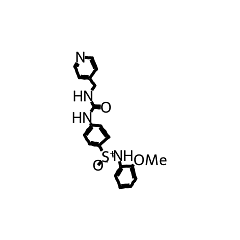 COc1ccccc1N[S+]([O-])c1ccc(NC(=O)NCc2ccncc2)cc1